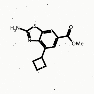 COC(=O)c1cc(C2CCC2)c2nc(N)sc2c1